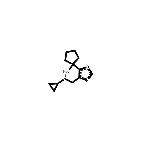 CC1(c2ocnc2CNC2CC2)CCCC1